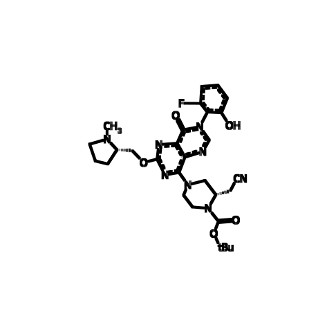 CN1CCC[C@H]1COc1nc(N2CCN(C(=O)OC(C)(C)C)[C@@H](CC#N)C2)c2ncn(-c3c(O)cccc3F)c(=O)c2n1